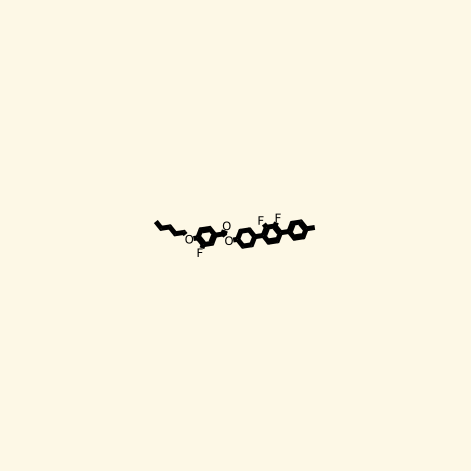 CCCCCOc1ccc(C(=O)OC2CCC(c3ccc(-c4ccc(C)cc4)c(F)c3F)CC2)cc1F